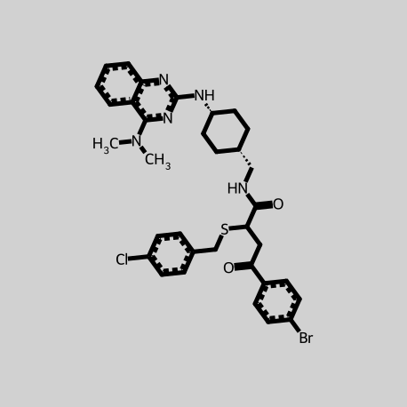 CN(C)c1nc(N[C@H]2CC[C@@H](CNC(=O)C(CC(=O)c3ccc(Br)cc3)SCc3ccc(Cl)cc3)CC2)nc2ccccc12